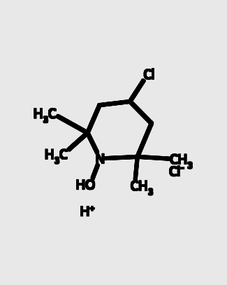 CC1(C)CC(Cl)CC(C)(C)N1O.[Cl-].[H+]